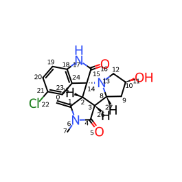 C=C1[C@H]2[C@@H](C(=O)N1C)[C@H]1C[C@H](O)CN1[C@]21C(=O)Nc2ccc(Cl)cc21